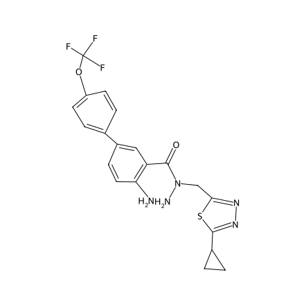 Nc1ccc(-c2ccc(OC(F)(F)F)cc2)cc1C(=O)N(N)Cc1nnc(C2CC2)s1